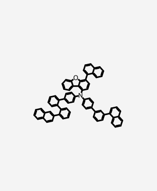 c1cc(-c2ccc(N(c3ccc(-c4ccccc4-c4ccccc4-c4ccc5ccccc5c4)cc3)c3ccc(-c4cccc5ccccc45)c4oc5ccccc5c34)cc2)cc(-c2cccc3ccccc23)c1